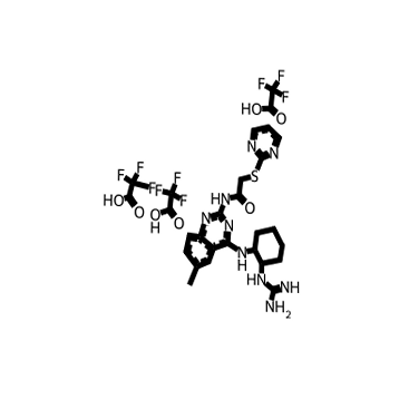 Cc1ccc2nc(NC(=O)CSc3ncccn3)nc(NC3CCCCC3NC(=N)N)c2c1.O=C(O)C(F)(F)F.O=C(O)C(F)(F)F.O=C(O)C(F)(F)F